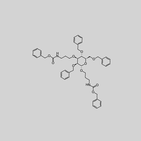 O=C(NCCCO[C@H]1O[C@H](COCc2ccccc2)[C@@H](OCc2ccccc2)[C@H](OCCCNC(=O)OCc2ccccc2)[C@@H]1OCc1ccccc1)OCc1ccccc1